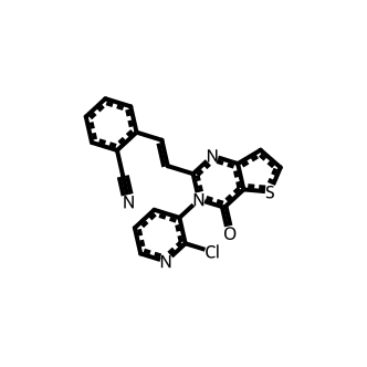 N#Cc1ccccc1C=Cc1nc2ccsc2c(=O)n1-c1cccnc1Cl